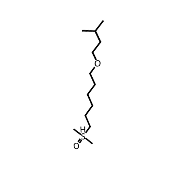 CC(C)CCOCCCCCC[SH](C)(C)=O